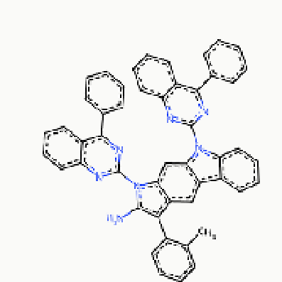 Cc1ccccc1-c1c(N)n(-c2nc(-c3ccccc3)c3ccccc3n2)c2cc3c(cc12)c1ccccc1n3-c1nc(-c2ccccc2)c2ccccc2n1